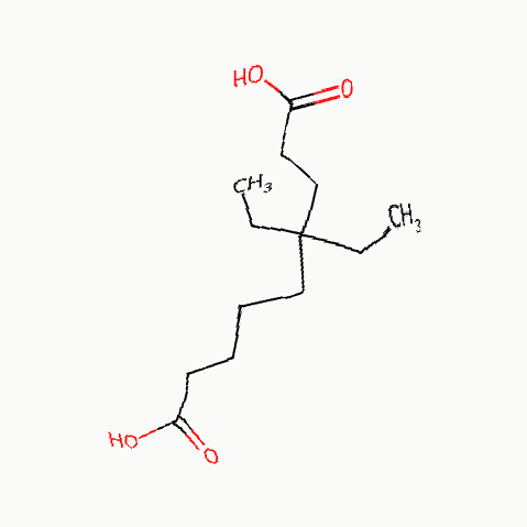 CCC(CC)(CCCCC(=O)O)CCC(=O)O